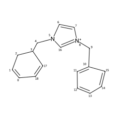 C1=CCC(Cn2cc[n+](Cc3ccccc3)c2)C=C1